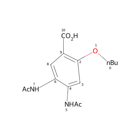 CCCCOc1cc(NC(C)=O)c(NC(C)=O)cc1C(=O)O